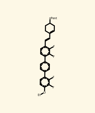 CCCCCC1CC=C(/C=C/c2ccc(-c3ccc(-c4ccc(OCC)c(F)c4F)cc3)c(F)c2F)CC1